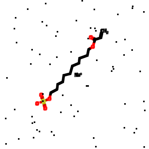 C=CC(=O)OCCCCCCCCCCCOS(=O)(=O)[O-].[Na+]